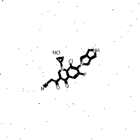 Cl.N#CCC(=O)c1cn(C2CC2)c2c(Cl)c(N3C=C4CNC=C4C3)c(F)cc2c1=O